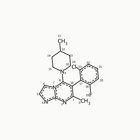 Cc1nc2nccn2c(N2CCC(C)CC2)c1-c1c(F)cccc1Cl